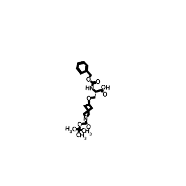 CC(C)(C)OC(=O)N1CC2(CC(OC[C@H](NC(=O)OCc3ccccc3)C(=O)O)C2)C1